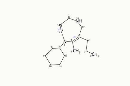 CCC/C1=C(\C)N(C2CCCCC2)/C=C\CNC1